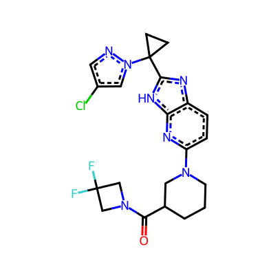 O=C(C1CCCN(c2ccc3nc(C4(n5cc(Cl)cn5)CC4)[nH]c3n2)C1)N1CC(F)(F)C1